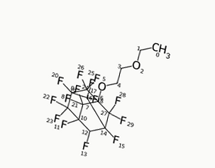 CCOCCOC12C(F)(F)C3(F)C(F)C(F)(C(F)(F)C(F)(C3(F)F)C1(F)F)C2(F)F